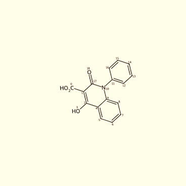 O=C(O)c1c(O)c2ccccc2n(-c2ccccc2)c1=O